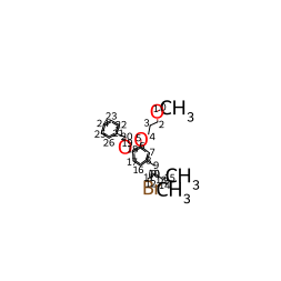 COCCCOc1cc(C[C@@H](CBr)C(C)C)ccc1OCc1ccccc1